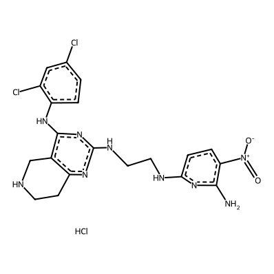 Cl.Nc1nc(NCCNc2nc3c(c(Nc4ccc(Cl)cc4Cl)n2)CNCC3)ccc1[N+](=O)[O-]